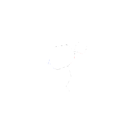 C=CCC1CNCCC[Si](C)(OCC)O1